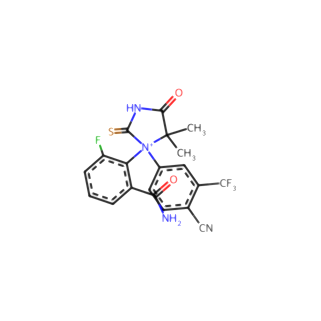 CC1(C)C(=O)NC(=S)[N+]1(c1ccc(C#N)c(C(F)(F)F)c1)c1c(F)cccc1C(N)=O